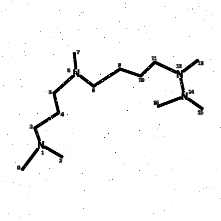 CN(C)CCCN(C)CCCCN(C)N(C)C